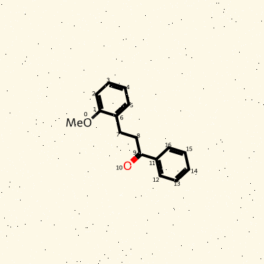 COc1ccccc1CCC(=O)c1ccccc1